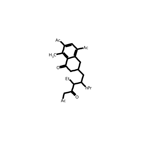 CCCC(CC1CC(=O)c2c(C)c(C(C)=O)cc(C(C)=O)c2C1)C(CC)C(=O)CC(C)=O